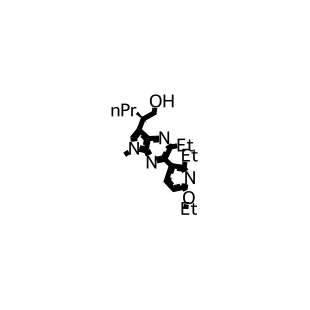 CCC[C@@H](CO)c1cn(C)c2nc(-c3ccc(OCC)nc3CC)c(CC)nc12